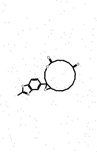 Cc1nc2cc(C34CCOC(=O)CCCC(=O)CCCCCCC3O4)ccc2o1